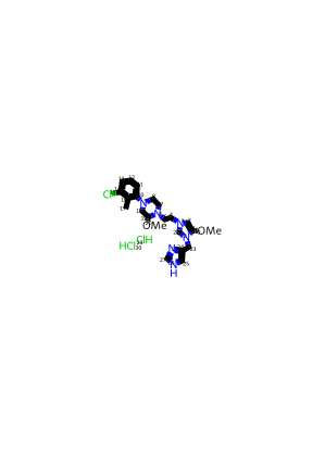 COC1=CN(CCN2CCN(c3cccc(Cl)c3C)CC2OC)CN1Cc1c[nH]cn1.Cl.Cl